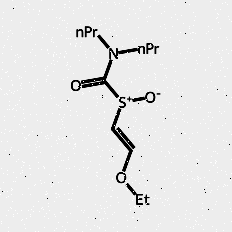 CCCN(CCC)C(=O)[S+]([O-])C=COCC